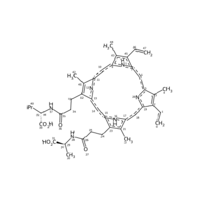 C=CC1=C(C)c2cc3[nH]c(cc4nc(cc5[nH]c(cc1n2)c(C)c5CCC(=O)N[C@@H](C)C(=O)O)C(CCC(=O)N[C@H](C(=O)O)C(C)C)=C4C)c(C)c3C=C